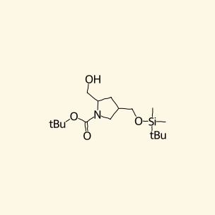 CC(C)(C)OC(=O)N1CC(CO[Si](C)(C)C(C)(C)C)CC1CO